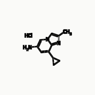 Cc1cn2cc(N)cc(C3CC3)c2n1.Cl